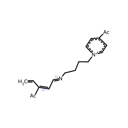 C=C/C(=C\C=N\CCCC[n+]1ccc(C(C)=O)cc1)C(C)=O